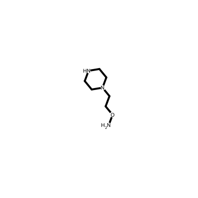 NOCCN1CCNCC1